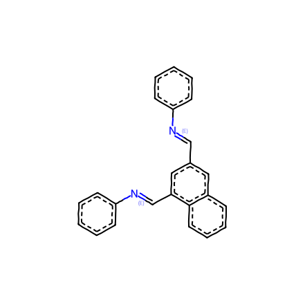 C(=N\c1ccccc1)/c1cc(/C=N/c2ccccc2)c2ccccc2c1